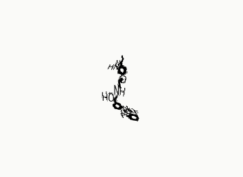 CCc1n[nH]c2cc(OCCNC[C@H](O)c3cccc([N]S(=O)(=O)c4c(F)cccc4F)c3)ccc12